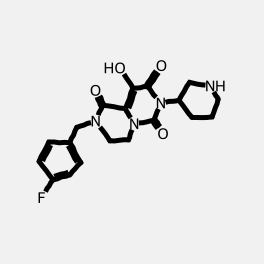 O=C1c2c(O)c(=O)n(C3CCCNC3)c(=O)n2CCN1Cc1ccc(F)cc1